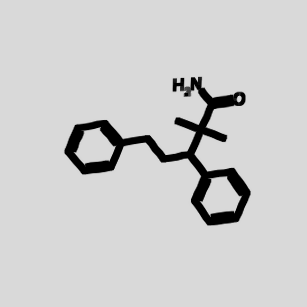 CC(C)(C(N)=O)C(CCc1ccccc1)c1ccccc1